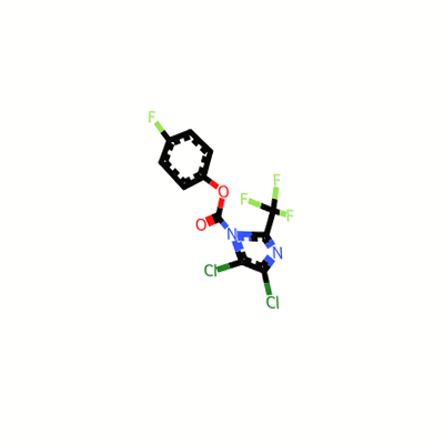 O=C(Oc1ccc(F)cc1)n1c(C(F)(F)F)nc(Cl)c1Cl